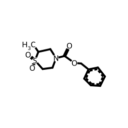 CC1CN(C(=O)OCc2ccccc2)CCS1(=O)=O